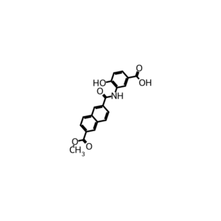 COC(=O)c1ccc2cc(C(=O)Nc3cc(C(=O)O)ccc3O)ccc2c1